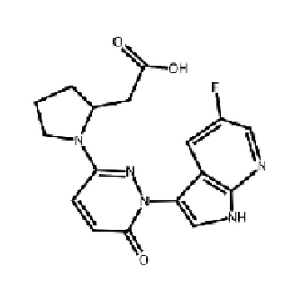 O=C(O)CC1CCCN1c1ccc(=O)n(-c2c[nH]c3ncc(F)cc23)n1